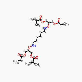 C=CC(=O)OCC(COC(=O)C(=C)C)ONCCCCCCNOC(COC(=O)C=C)COC(=O)C(=C)C